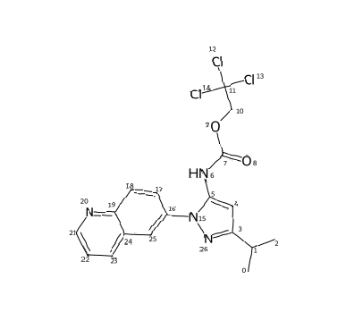 CC(C)c1cc(NC(=O)OCC(Cl)(Cl)Cl)n(-c2ccc3ncccc3c2)n1